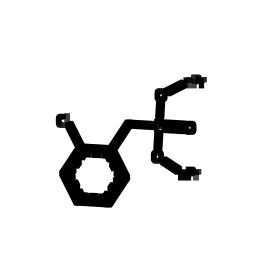 CCCOP(=O)(Cc1ccccc1Cl)OCCC